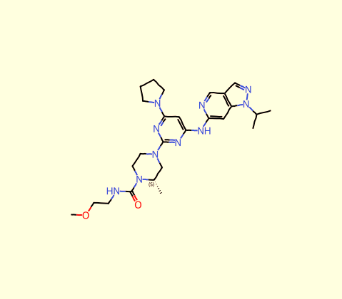 COCCNC(=O)N1CCN(c2nc(Nc3cc4c(cn3)cnn4C(C)C)cc(N3CCCC3)n2)C[C@@H]1C